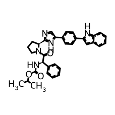 CC(C)OC(=O)N[C@@H](C(=O)N1CCC[C@H]1c1ncc(-c2ccc(-c3cc4ccccc4[nH]3)cc2)[nH]1)c1ccccc1